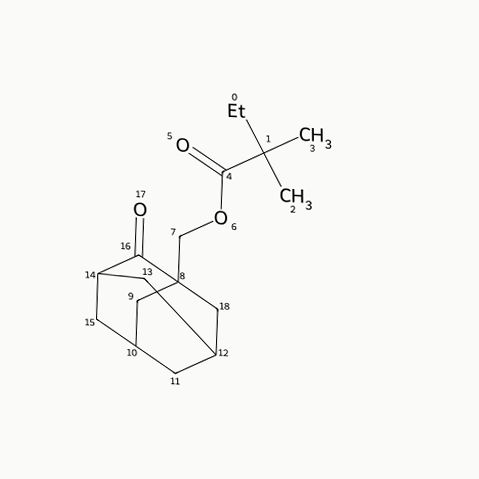 CCC(C)(C)C(=O)OCC12CC3CC(CC(C3)C1=O)C2